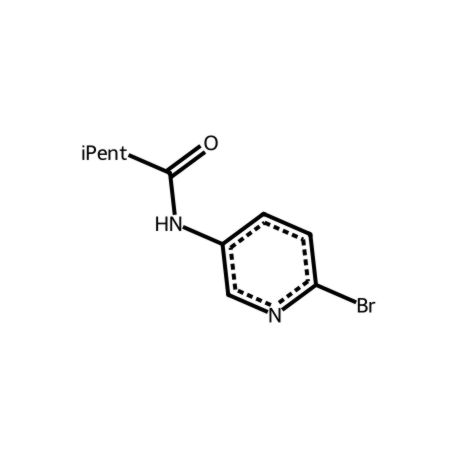 CCCC(C)C(=O)Nc1ccc(Br)nc1